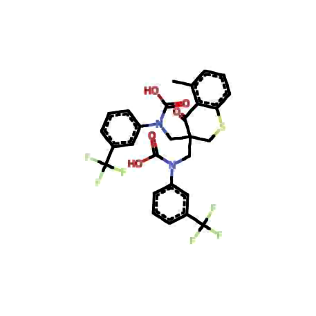 Cc1cccc2c1C(=O)C(CN(C(=O)O)c1cccc(C(F)(F)F)c1)(CN(C(=O)O)c1cccc(C(F)(F)F)c1)CS2